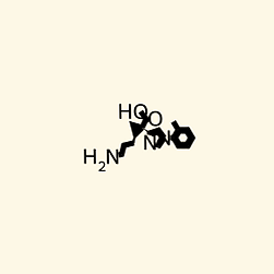 Cc1ccccc1-n1cnc([C@@]2(C(=O)O)C[C@@H]2CCCN)c1